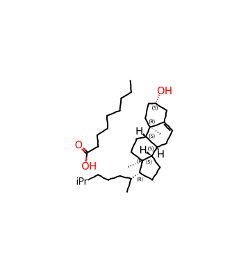 CC(C)CCCC(C)[C@H]1CC[C@H]2[C@@H]3CC=C4C[C@@H](O)CC[C@]4(C)[C@H]3CC[C@]12C.CCCCCCCCC(=O)O